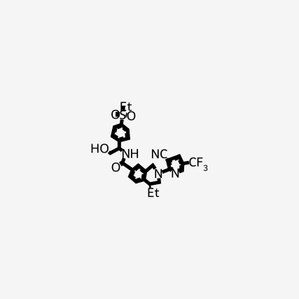 CC[C@@H]1CN(c2ncc(C(F)(F)F)cc2C#N)Cc2cc(C(=O)NC(CO)c3ccc(S(=O)(=O)CC)cc3)ccc21